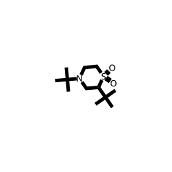 CC(C)(C)C1CN(C(C)(C)C)CCS1(=O)=O